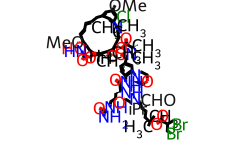 COc1cc2cc(c1Cl)N(C)CC[C@H](OC(=O)[C@H](C)N(C)C(=O)c1ccc(NC(=O)[C@H](CCCNC(N)=O)NC(=O)[C@@H](NC(C=O)CCCC(C)(C)OC(=O)C(CBr)CBr)C(C)C)c(N3CCOCC3)c1)[C@]1(C)O[C@H]1[C@H](C)[C@@H]1C[C@@](O)(NC(=O)O1)[C@H](OC)/C=C/C=C(\C)C2